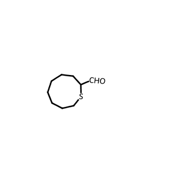 O=CC1CCCCCCCS1